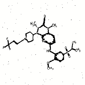 COc1ccc(S(=O)(=O)C(C)C)cc1Nc1ccc2c(n1)N(C1CCN(CCC(F)(F)F)CC1)[C@H](C)C(=O)N2C